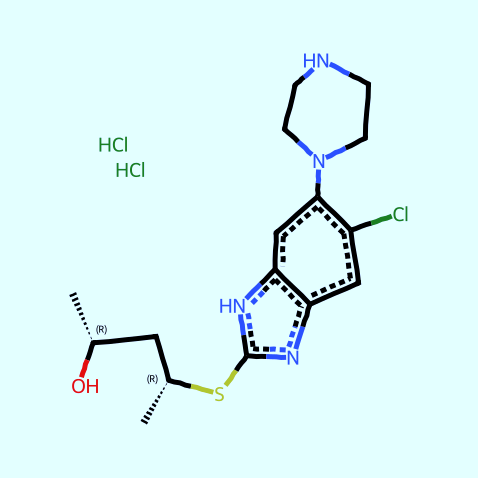 C[C@H](C[C@@H](C)O)Sc1nc2cc(Cl)c(N3CCNCC3)cc2[nH]1.Cl.Cl